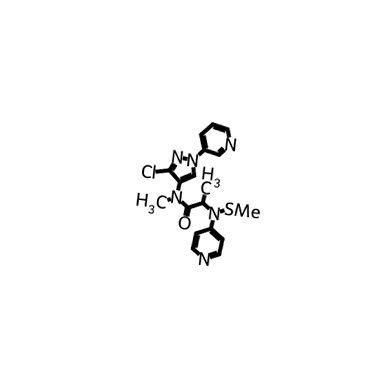 CSN(c1ccncc1)C(C)C(=O)N(C)c1cn(-c2cccnc2)nc1Cl